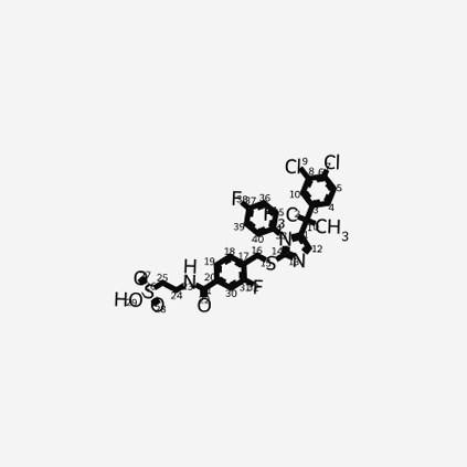 CC(C)(c1ccc(Cl)c(Cl)c1)c1cnc(SCc2ccc(C(=O)NCCS(=O)(=O)O)cc2F)n1-c1ccc(F)cc1